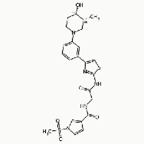 C[C@@H]1CN(c2cccc(-c3csc(NC(=O)CNC(=O)c4ccn(S(C)(=O)=O)c4)n3)c2)CC[C@H]1O